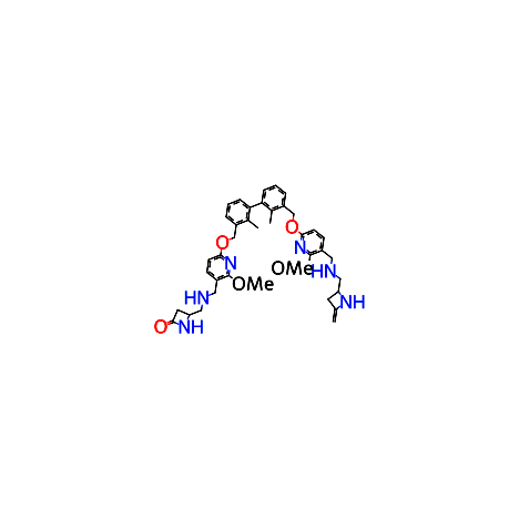 C=C1CC(CNCc2ccc(OCc3cccc(-c4cccc(COc5ccc(CNCC6CC(=O)N6)c(OC)n5)c4C)c3C)nc2OC)N1